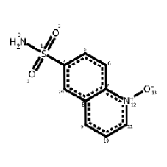 NS(=O)(=O)c1ccc2c(ccc[n+]2[O-])c1